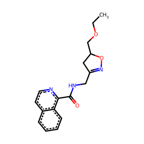 CCOCC1CC(CNC(=O)c2nccc3ccccc23)=NO1